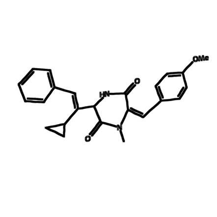 COc1ccc(C=C2C(=O)NC(C(=Cc3ccccc3)C3CC3)C(=O)N2C)cc1